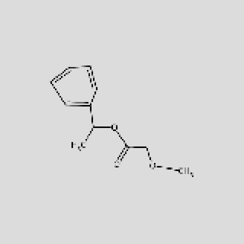 COCC(=O)OC(C)c1ccccc1